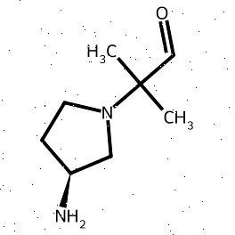 CC(C)(C=O)N1CC[C@H](N)C1